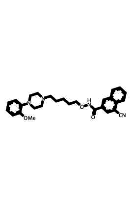 COc1ccccc1N1CCN(CCCCCONC(=O)c2cc(C#N)c3ccccc3c2)CC1